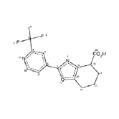 CC(F)(F)c1cc(-c2nc3c(o2)CCCC3C(=O)O)ccn1